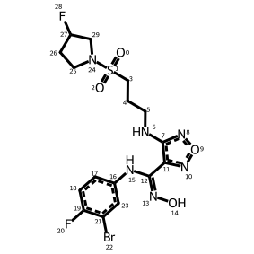 O=S(=O)(CCCNc1nonc1C(=NO)Nc1ccc(F)c(Br)c1)N1CCC(F)C1